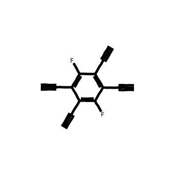 C#Cc1c(F)c(C#C)c(C#C)c(F)c1C#C